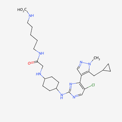 Cn1ncc(-c2nc(NC3CCC(NCC(=O)NCCCCCNC(=O)O)CC3)ncc2Cl)c1CC1CC1